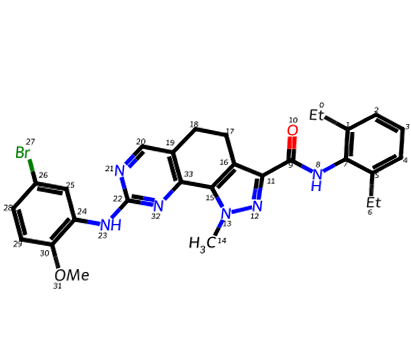 CCc1cccc(CC)c1NC(=O)c1nn(C)c2c1CCc1cnc(Nc3cc(Br)ccc3OC)nc1-2